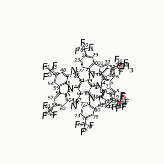 Cc1ccc2c(c1)c1cc(C(F)(F)F)ccc1n2-c1c(-n2c3ccc(C(F)(F)F)cc3c3cc(C(F)(F)F)ccc32)c(C#N)c(-n2c3ccc(C(F)(F)F)cc3c3cc(C(F)(F)F)ccc32)c(C#N)c1-n1c2ccc(C(F)(F)F)cc2c2cc(C(F)(F)F)ccc21